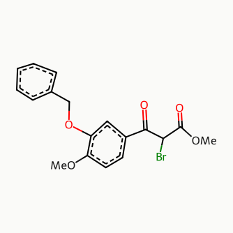 COC(=O)C(Br)C(=O)c1ccc(OC)c(OCc2ccccc2)c1